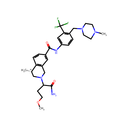 COCCC(C(N)=O)N1Cc2cc(C(=O)Nc3ccc(CN4CCN(C)CC4)c(C(F)(F)F)c3)ccc2[C@@H](C)C1